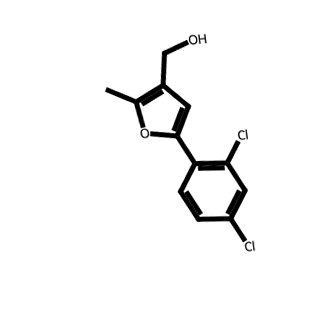 Cc1oc(-c2ccc(Cl)cc2Cl)cc1CO